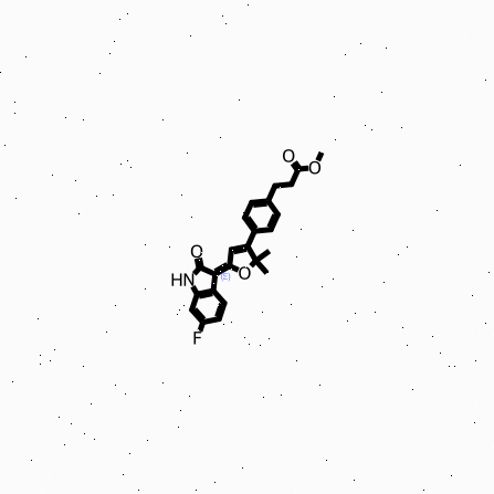 COC(=O)CCc1ccc(C2=C/C(=C3\C(=O)Nc4cc(F)ccc43)OC2(C)C)cc1